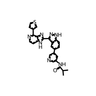 CC(C)C(=O)Nc1cncc(-c2ccc3[nH]nc(-c4nc5c(-c6ccsc6)nccc5[nH]4)c3c2)c1